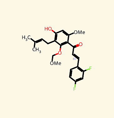 COCOc1c(CC=C(C)C)c(O)cc(OC)c1C(=O)/C=C/c1ccc(F)cc1F